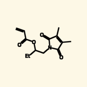 C=CC(=O)OC(CC)CN1C(=O)C(C)=C(C)C1=O